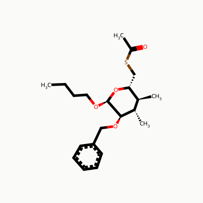 CCCCO[C@H]1O[C@H](CSC(C)=O)[C@@H](C)[C@H](C)[C@H]1OCc1ccccc1